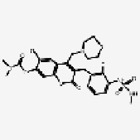 CNS(=O)(=O)Nc1cccc(Cc2c(CN3CCNCC3)c3cc(Cl)c(OC(=O)N(C)C)cc3oc2=O)c1F